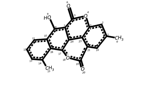 Cc1cc2oc(=O)c3c(O)c4cccc(C)c4c4oc(=O)c(c1)c2c34